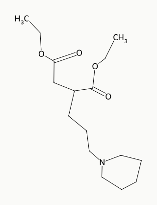 CCOC(=O)CC(CCCN1CCCCC1)C(=O)OCC